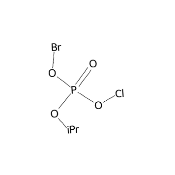 CC(C)OP(=O)(OCl)OBr